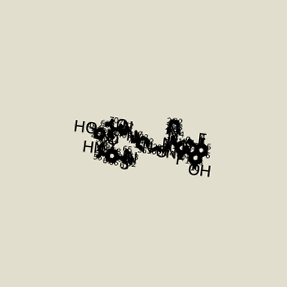 C#Cc1c(F)ccc2cc(O)cc(-c3ncc4c(N5CC6CCC(C5)N6)nc(OCCN5CCC6(CC5)CN(c5cc(C(C(=O)N7C[C@H](O)C[C@H]7C(=O)NC(C)c7ccc(-c8scnc8C)cc7)C(C)C)on5)C6)nc4c3F)c12